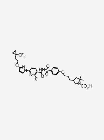 CC1(C)CC(CCCOc2ccc(S(=O)(=O)NC(=O)c3ccc(-n4ccc(OCCC5(C(F)(F)F)CC5)n4)nc3Cl)cc2)CN1C(=O)O